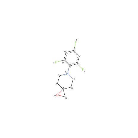 Fc1cc(F)c(N2CCC3(CC2)CO3)c(F)c1